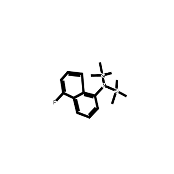 C[Si](C)(C)N(c1cccc2c(F)cccc12)[Si](C)(C)C